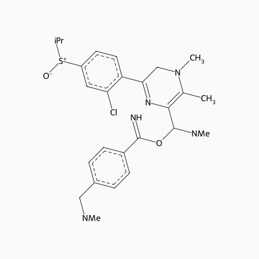 CNCc1ccc(C(=N)OC(NC)C2=C(C)N(C)CC(c3ccc([S+]([O-])C(C)C)cc3Cl)=N2)cc1